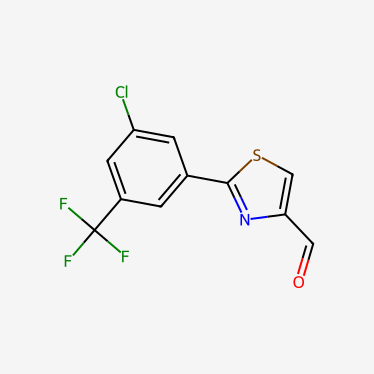 O=Cc1csc(-c2cc(Cl)cc(C(F)(F)F)c2)n1